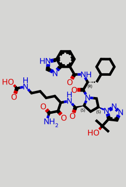 CC(C)(O)c1cnnn1[C@H]1C[C@@H](C(=O)NC(CCCCNC(=O)O)C(=O)C(N)=O)N(C(=O)[C@@H](CC2CCCCC2)NC(=O)c2cccc3[nH]cnc23)C1